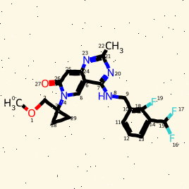 COCC1(n2cc3c(NCc4cccc(C(F)F)c4F)nc(C)nc3cc2=O)CC1